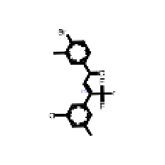 Cc1cc(Cl)cc(/C(=C/C(=O)c2ccc(Br)c(C)c2)C(F)(F)F)c1